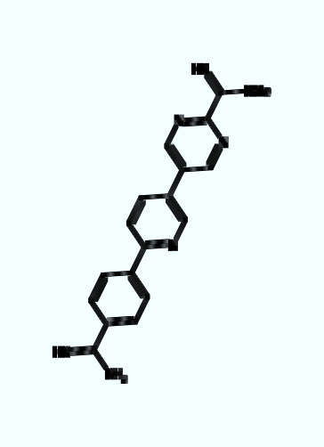 CNC(=N)c1ncc(-c2ccc(-c3ccc(C(=N)N)cc3)nc2)cn1